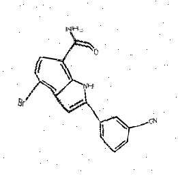 N#Cc1cccc(-c2cc3c(Br)ccc(C(N)=O)c3[nH]2)c1